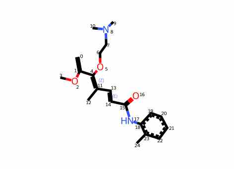 C=C(OC)/C(OCCN(C)C)=C(C)/C=C/C(=O)Nc1ccccc1C